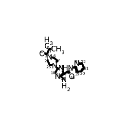 CC(C)C(=O)N1CCN(c2cnc(N)c(C(=O)Nc3ccccn3)n2)CC1